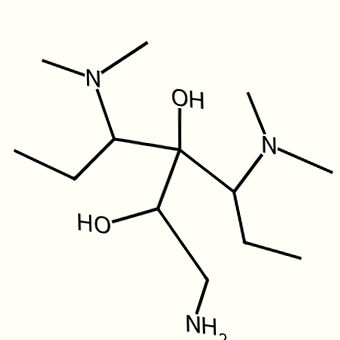 CCC(N(C)C)C(O)(C(O)CN)C(CC)N(C)C